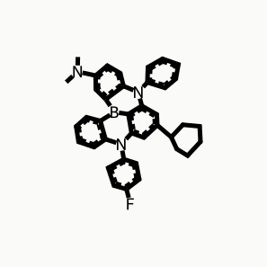 CN(C)c1ccc2c(c1)B1c3ccccc3N(c3ccc(F)cc3)c3cc(C4CCCCC4)cc(c31)N2c1ccccc1